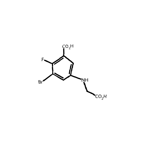 O=C(O)CNc1cc(Br)c(F)c(C(=O)O)c1